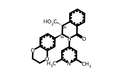 Cc1cc(N2C(=O)c3ccccc3[C@@H](C(=O)O)[C@@H]2c2ccc3c(c2)OCCO3)cc(C)n1